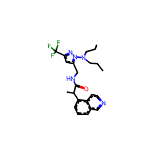 CCCN(CCC)n1nc(C(F)(F)F)cc1CNC(=O)C(C)c1cccc2cnccc12